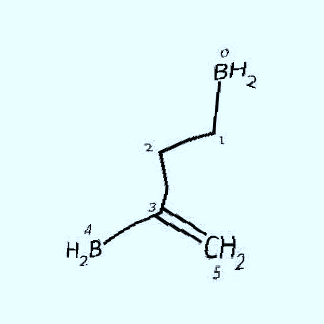 BCCC(B)=C